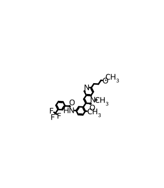 COCCCc1cc2c(cn1)cc(-c1cc(NC(=O)c3cccc(C(F)(F)F)c3)ccc1C)c(=O)n2C